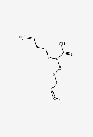 C=CCSSN(SSCC=C)C(=O)O